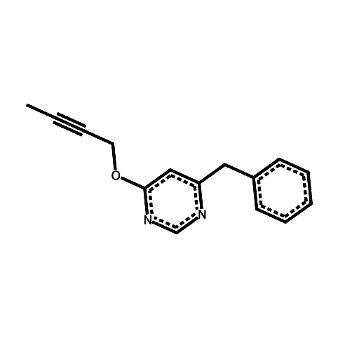 CC#CCOc1cc(Cc2ccccc2)ncn1